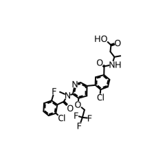 CC(CC(=O)O)NC(=O)c1ccc(Cl)c(-c2cnc(N(C)C(=O)c3c(F)cccc3Cl)c(OCC(F)(F)F)c2)c1